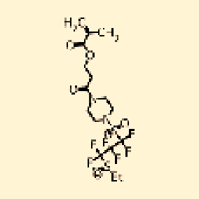 C=C(C)C(=O)OCCC(=O)N1CCN(S(=O)(=O)C(F)(F)C(F)(F)C(F)(F)S(=O)(=O)CC)CC1